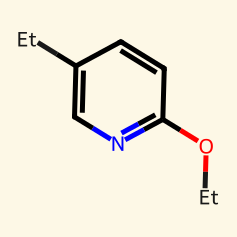 [CH2]Cc1ccc(OCC)nc1